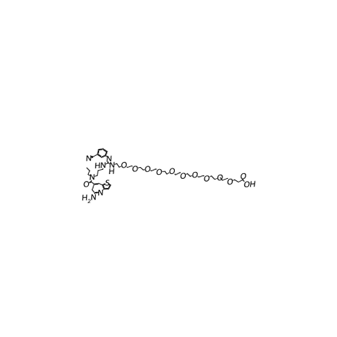 CCCN(CCCN/C(=N\c1cccc(C#N)c1)NCCOCCOCCOCCOCCOCCOCCOCCOCCOCCOCCC(=O)O)C(=O)C1=Cc2sccc2N=C(N)C1